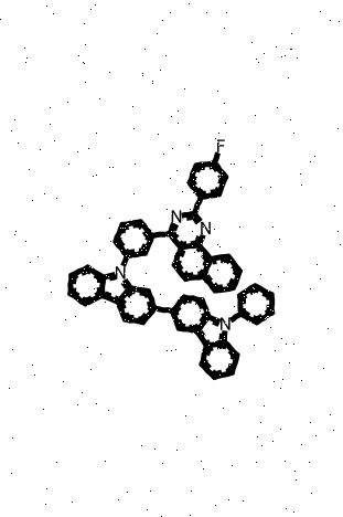 Fc1ccc(-c2nc(-c3cccc(-n4c5ccccc5c5ccc(-c6ccc7c(c6)c6ccccc6n7-c6ccccc6)cc54)c3)c3ccc4ccccc4c3n2)cc1